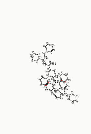 N=C(/N=C(\N=C\c1ccncc1)c1ccncc1)c1cc(-c2ccccc2)c(N(c2ccccc2)c2cccc3c2c2ccccc2n3-c2ccccc2)c(-c2ccccc2)c1